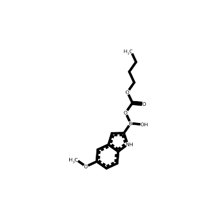 CCCCOC(=O)OB(O)c1cc2cc(OC)ccc2[nH]1